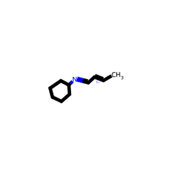 C/C=C/C=NC1CCCCC1